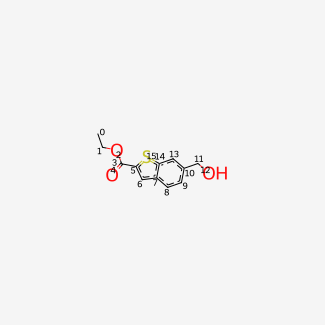 CCOC(=O)c1cc2ccc(CO)cc2s1